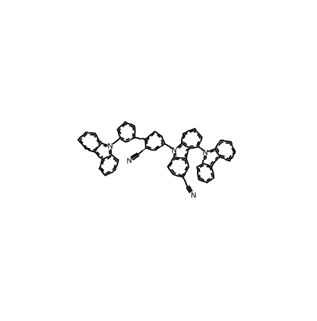 N#Cc1ccc2c(c1)c1c(-n3c4ccccc4c4ccccc43)cccc1n2-c1ccc(-c2cccc(-n3c4ccccc4c4ccccc43)c2)c(C#N)c1